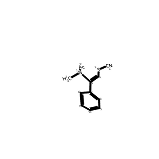 CC(=O)N(C)C(=CSC#N)c1ccccc1